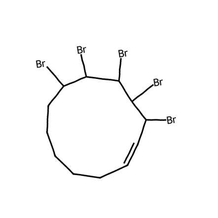 BrC1C=CCCCCCC(Br)C(Br)C(Br)C1Br